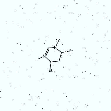 CCC1CC(CC)[N+](C)=CN1C